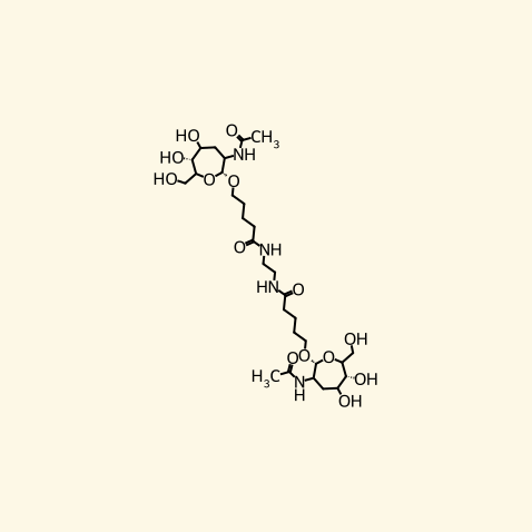 CC(=O)NC1CC(O)[C@@H](O)C(CO)O[C@H]1OCCCCC(=O)NCCNC(=O)CCCCO[C@@H]1OC(CO)[C@H](O)C(O)CC1NC(C)=O